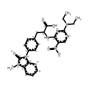 CCN(CC)c1ncc([N+](=O)[O-])c(NC(Cc2ccc(-n3c(=O)n(C)c4cccnc43)cc2)C(=O)O)n1